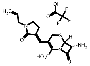 C=CCN1CC/C(=C\C2=C(C(=O)O)N3C(=O)[C@@H](N)[C@H]3SC2)C1=O.O=C(O)C(F)(F)F